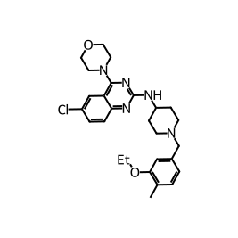 CCOc1cc(CN2CCC(Nc3nc(N4CCOCC4)c4cc(Cl)ccc4n3)CC2)ccc1C